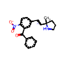 CC1(/C=C/c2ccc([N+](=O)[O-])c(C(=O)c3ccccc3)c2)CCCN1